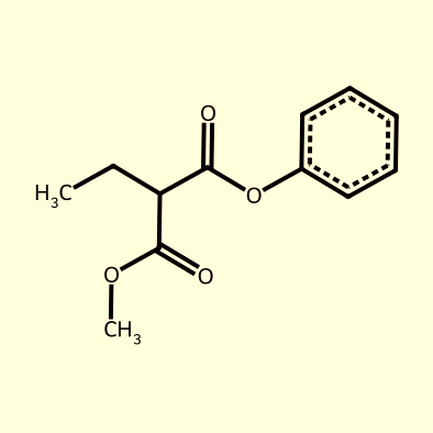 CCC(C(=O)OC)C(=O)Oc1ccccc1